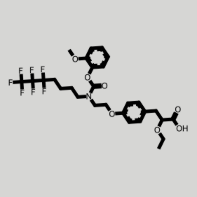 CCOC(Cc1ccc(OCCN(CCCCC(F)(F)C(F)(F)C(F)(F)F)C(=O)Oc2ccccc2OC)cc1)C(=O)O